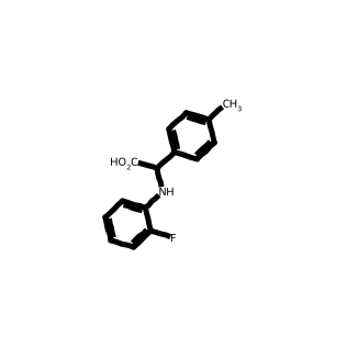 Cc1ccc(C(Nc2ccccc2F)C(=O)O)cc1